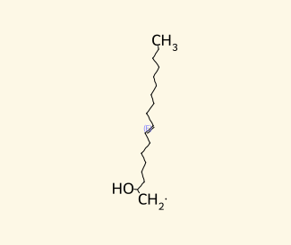 [CH2]C(O)CCCCC/C=C/CCCCCCCCC